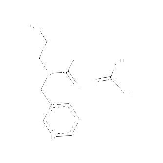 N#CCCN(Cc1cncnc1)C(O)=S.NC(O)=S